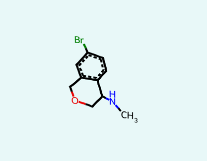 CNC1COCc2cc(Br)ccc21